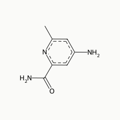 Cc1cc(N)cc(C(N)=O)n1